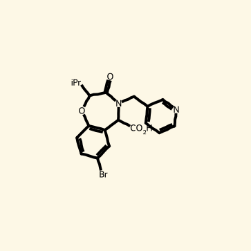 CC(C)C1Oc2ccc(Br)cc2C(C(=O)O)N(Cc2cccnc2)C1=O